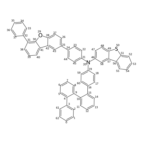 c1ccc(-c2ccccc2-c2ccccc2-c2ccc(N(c3ccc(-c4ccc5oc6c(-c7ccccc7)cccc6c5c4)cc3)c3ccc4sc5ccccc5c4c3)cc2)cc1